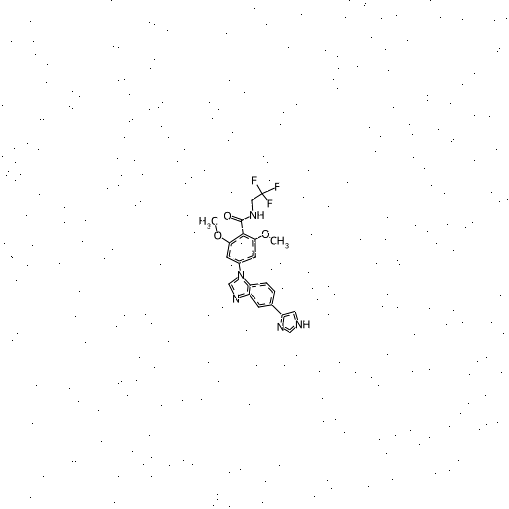 COc1cc(-n2cnc3cc(-c4c[nH]cn4)ccc32)cc(OC)c1C(=O)NCC(F)(F)F